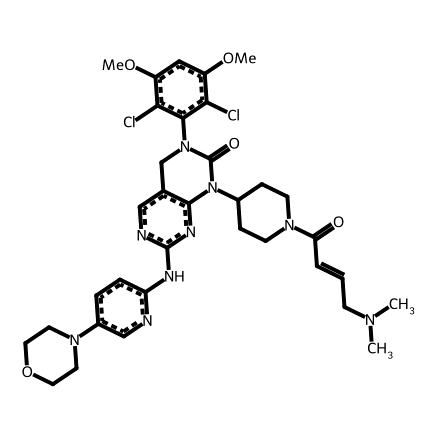 COc1cc(OC)c(Cl)c(N2Cc3cnc(Nc4ccc(N5CCOCC5)cn4)nc3N(C3CCN(C(=O)C=CCN(C)C)CC3)C2=O)c1Cl